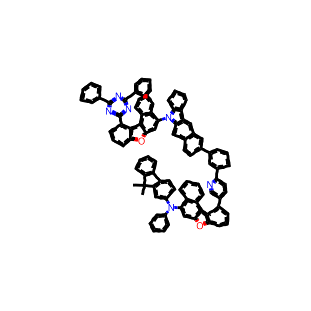 CC1(C)c2ccccc2-c2ccc(N(c3ccccc3)c3cc4oc5cccc(-c6ccc(-c7cccc(-c8ccc9cc%10c(cc9c8)c8ccccc8n%10-c8cc9oc%10cccc(-c%11nc(-c%12ccccc%12)nc(-c%12ccccc%12)n%11)c%10c9c9ccccc89)c7)nc6)c5c4c4ccccc34)cc21